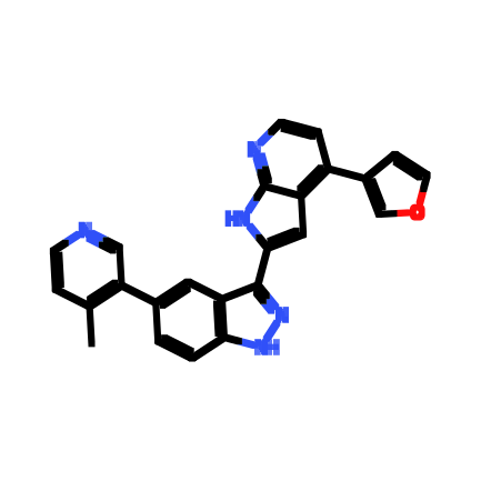 Cc1ccncc1-c1ccc2[nH]nc(-c3cc4c(-c5ccoc5)ccnc4[nH]3)c2c1